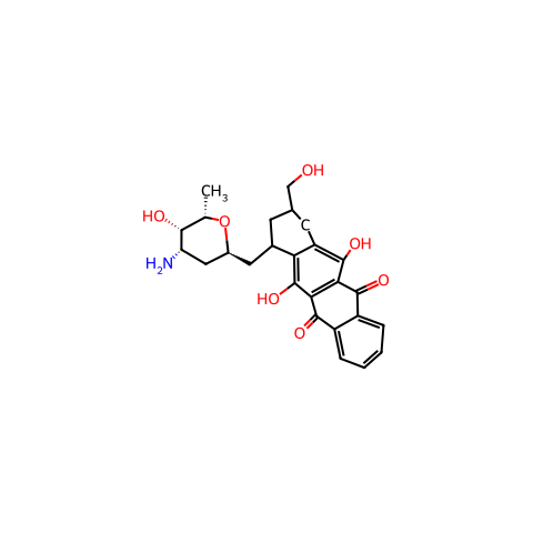 C[C@@H]1O[C@@H](CC2CC(CO)Cc3c(O)c4c(c(O)c32)C(=O)c2ccccc2C4=O)C[C@H](N)[C@@H]1O